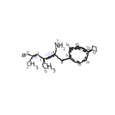 CC(/C=C(\C)Br)=C(/N)Cc1ccc(Cl)cc1